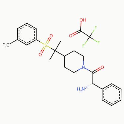 CC(C)(C1CCN(C(=O)[C@@H](N)c2ccccc2)CC1)S(=O)(=O)c1cccc(C(F)(F)F)c1.O=C(O)C(F)(F)F